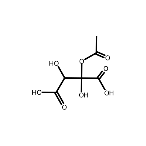 CC(=O)OC(O)(C(=O)O)C(O)C(=O)O